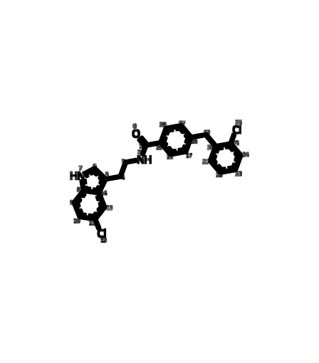 O=C(NCCc1c[nH]c2ccc(Cl)cc12)c1ccc(Cc2ccccc2Cl)cc1